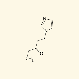 CCC(=O)CCn1ccnc1